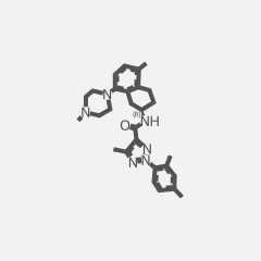 Cc1ccc(-n2nc(C)c(C(=O)N[C@@H]3CCc4c(C)ccc(N5CCN(C)CC5)c4C3)n2)c(C)c1